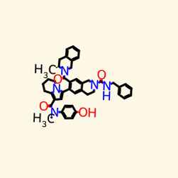 C[C@@H]1Cc2ccccc2CN1C(=O)c1cc2c(cc1-c1cc(C(=O)N(C)c3ccc(O)cc3)c3n1CCCC3)CCN(C(=O)NCc1ccccc1)C2